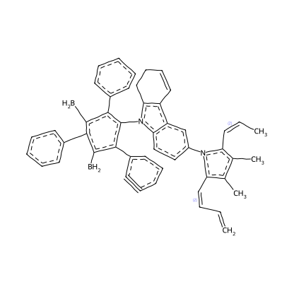 Bc1c(-c2ccccc2)c(B)c(-c2ccccc2)c(-n2c3c(c4cc(-n5c(/C=C\C)c(C)c(C)c5/C=C\C=C)ccc42)C=CCC3)c1-c1c#cccc1